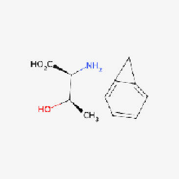 C[C@@H](O)[C@H](N)C(=O)O.c1ccc2c(c1)C2